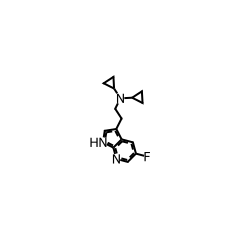 Fc1cnc2[nH]cc(CCN(C3CC3)C3CC3)c2c1